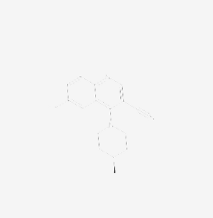 C[C@H]1CCN(c2c(C#N)cnc3ccc(Cl)cc23)[C@H](C)C1